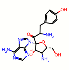 Nc1ncnc2c1ncn2[C@]1(C(=O)C(N)Cc2ccc(O)cc2)O[C@H](CO)C(N)[C@H]1O